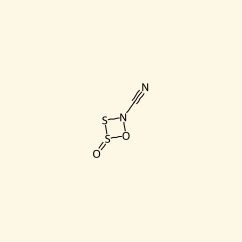 N#CN1OS(=O)S1